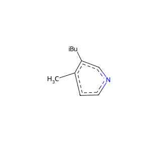 CCC(C)c1cnccc1C